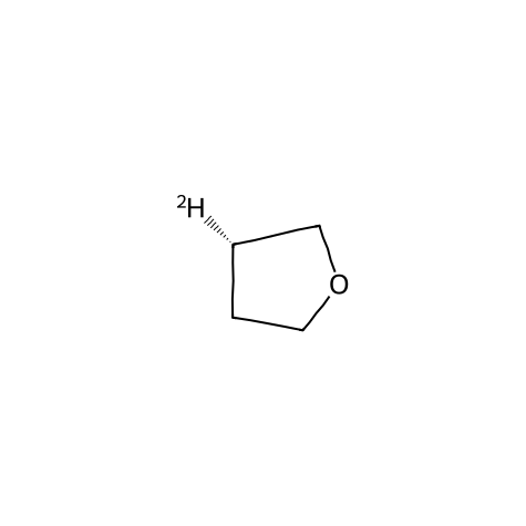 [2H][C@H]1CCOC1